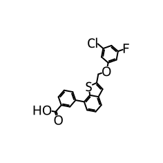 O=C(O)c1cccc(-c2cccc3cc(COc4cc(F)cc(Cl)c4)sc23)c1